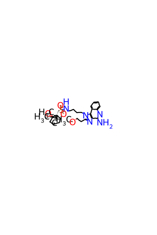 COCCc1nc2c(N)nc3ccccc3c2n1CCCCNS(=O)(=O)C[C@@]12CCC(CC1=O)CC2(C)C